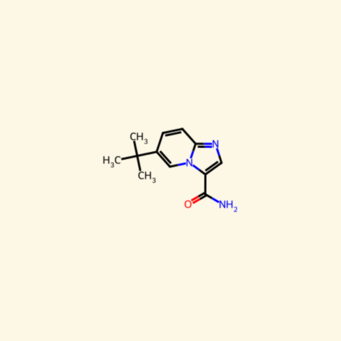 CC(C)(C)c1ccc2ncc(C(N)=O)n2c1